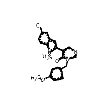 COc1ccc(Cn2cncc(-c3cc4cc(Cl)ccc4n3N)c2=O)cc1